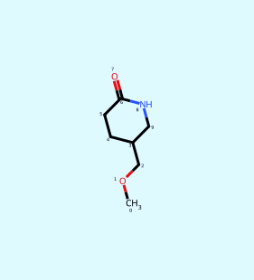 COCC1CCC(=O)NC1